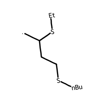 [CH2]C(CCSCCCC)SCC